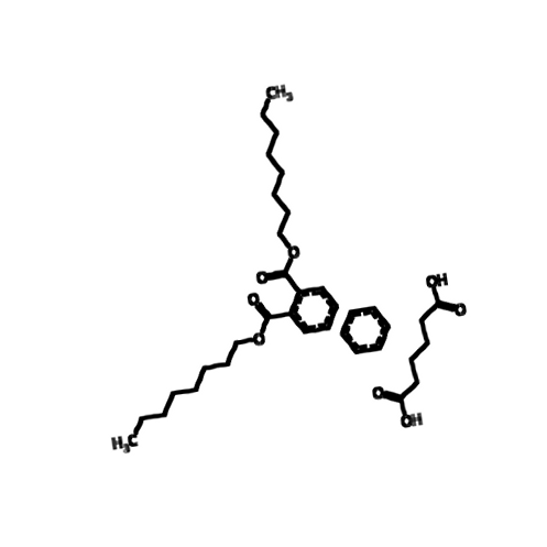 CCCCCCCCOC(=O)c1ccccc1C(=O)OCCCCCCCC.O=C(O)CCCCC(=O)O.c1ccccc1